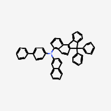 c1ccc(-c2ccc(N(c3ccc4ccccc4c3)c3cccc4c5c(ccc34)C(c3ccccc3)(c3ccccc3)c3ccccc3-5)cc2)cc1